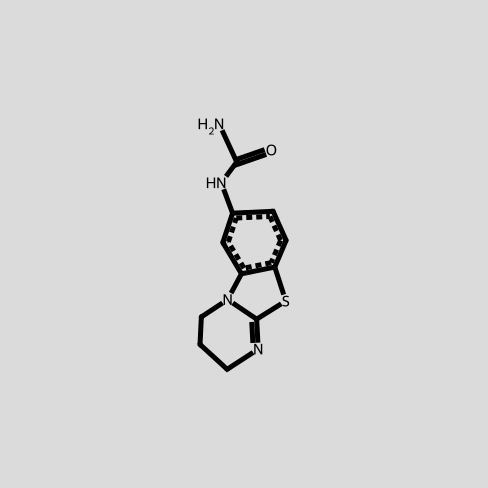 NC(=O)Nc1ccc2c(c1)N1CCCN=C1S2